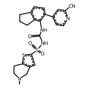 CN1CCc2sc(S(=O)(=O)NC(=O)Nc3c(-c4ccnc(C#N)c4)ccc4c3CCC4)cc2C1